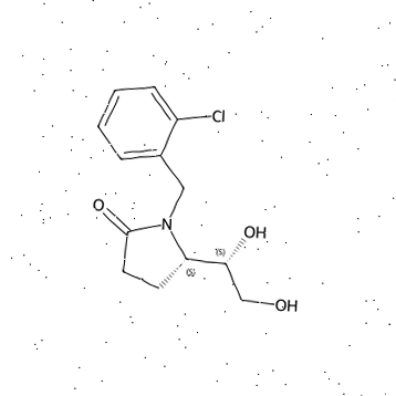 O=C1CC[C@@H]([C@H](O)CO)N1Cc1ccccc1Cl